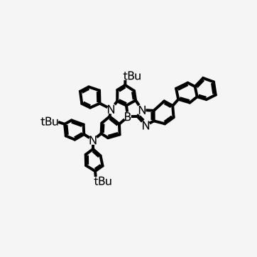 CC(C)(C)c1ccc(N(c2ccc(C(C)(C)C)cc2)c2ccc3c(c2)N(c2ccccc2)c2cc(C(C)(C)C)cc4c2B3c2nc3ccc(-c5ccc6ccccc6c5)cc3n2-4)cc1